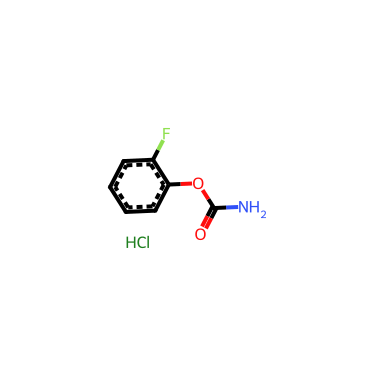 Cl.NC(=O)Oc1ccccc1F